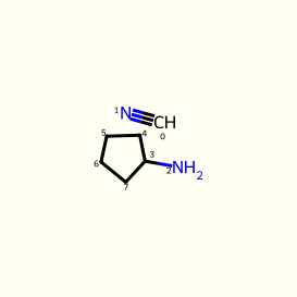 C#N.NC1CCCC1